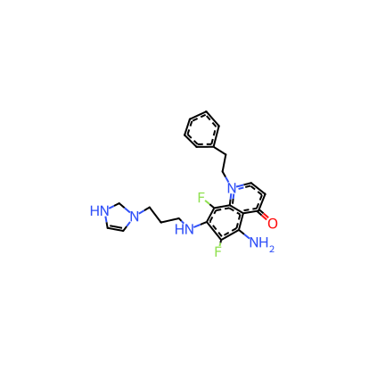 Nc1c(F)c(NCCCN2C=CNC2)c(F)c2c1c(=O)ccn2CCc1ccccc1